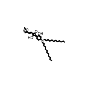 CCCCCCCCCCCC[N+](CCCCCCCCCCCC)=C1C=C/C(=C2/C(=O)C(/C=C/c3cnc(C)o3)=C2O)C(O)=C1